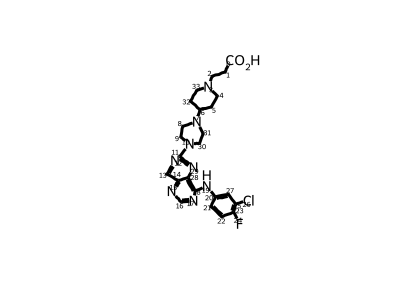 O=C(O)CCN1CCC(N2CCN(c3ncc4ncnc(Nc5ccc(F)c(Cl)c5)c4n3)CC2)CC1